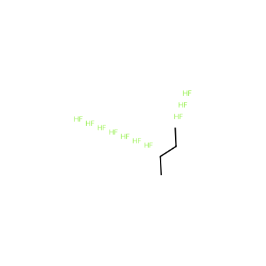 CCCC.F.F.F.F.F.F.F.F.F.F